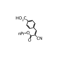 CCCOC(=O)C(C#N)=Cc1ccc(C(=O)O)cc1